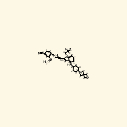 COc1cc(C#N)ccc1NCC#Cc1cc2c(NC3CCC(N4CC5(COC5)C4)CC3)cccc2n1CC(F)(F)F